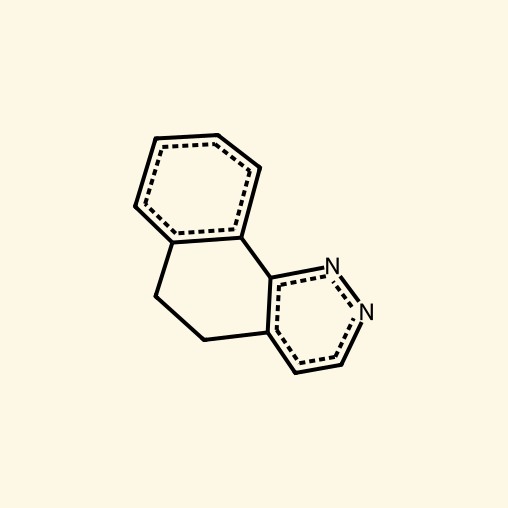 c1ccc2c(c1)CCc1ccnnc1-2